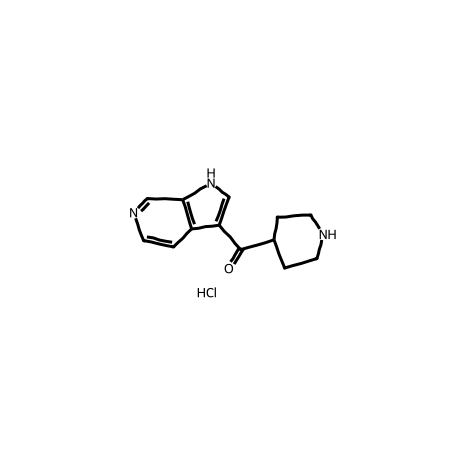 Cl.O=C(c1c[nH]c2cnccc12)C1CCNCC1